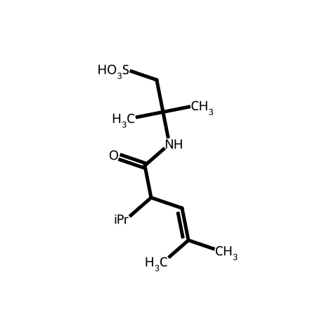 CC(C)=CC(C(=O)NC(C)(C)CS(=O)(=O)O)C(C)C